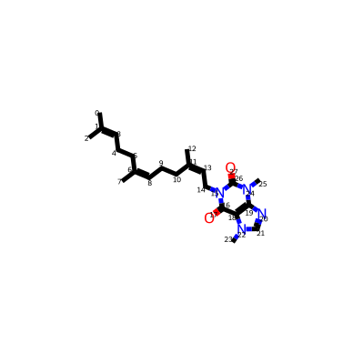 CC(C)=CCCC(C)=CCCC(C)=CCn1c(=O)c2c(ncn2C)n(C)c1=O